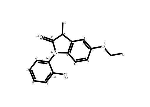 CCOc1ccc2c(c1)C(C)C(=O)N2c1ccccc1Cl